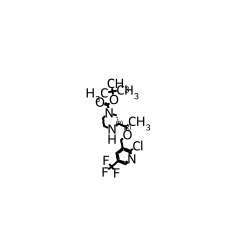 C[C@@H](OCc1cc(C(F)(F)F)cnc1Cl)[C@H]1CN(C(=O)OC(C)(C)C)CCN1